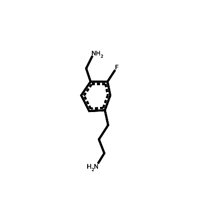 NCCCc1ccc(CN)c(F)c1